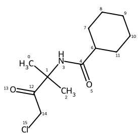 CC(C)(NC(=O)C1CCCCC1)C(=O)CCl